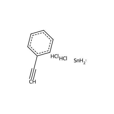 C#Cc1ccccc1.Cl.Cl.[SnH2]